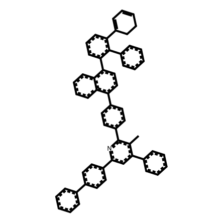 Cc1c(-c2ccccc2)cc(-c2ccc(-c3ccccc3)cc2)nc1-c1ccc(-c2ccc(-c3cccc(C4=CC=CCC4)c3-c3ccccc3)c3ccccc23)cc1